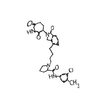 Cc1ccc(NC(=O)C2CCCN2CCCCc2cccc3c2CN(C2CCC(=O)NC2=O)C3=O)cc1Cl